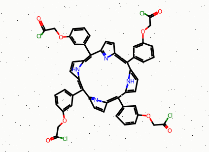 O=C(Cl)COc1cccc(-c2c3nc(c(-c4cccc(OCC(=O)Cl)c4)c4ccc([nH]4)c(-c4cccc(OCC(=O)Cl)c4)c4nc(c(-c5cccc(OCC(=O)Cl)c5)c5ccc2[nH]5)C=C4)C=C3)c1